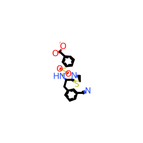 COC(=O)c1cccc(S(=O)(=O)NC(Cc2cccc(C#N)c2)c2nccs2)c1